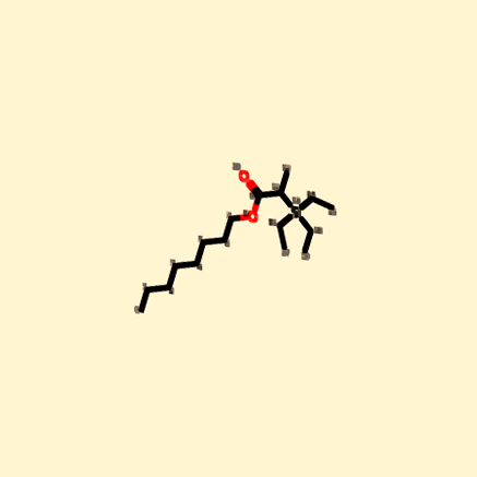 CCCCCCCCOC(=O)C(C)[Si](CC)(CC)CC